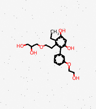 CCc1c(O)cc(O)c(-c2cccc(OCCO)c2)c1CCOCC(O)CO